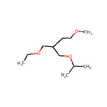 CCOC[C](CCOC)COC(C)C